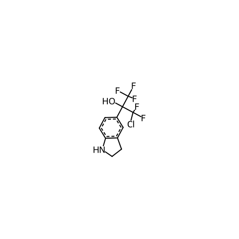 OC(c1ccc2c(c1)CCN2)(C(F)(F)F)C(F)(F)Cl